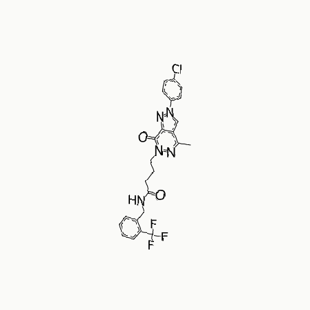 Cc1nn(CCCC(=O)NCc2ccccc2C(F)(F)F)c(=O)c2nn(-c3ccc(Cl)cc3)cc12